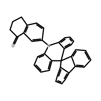 O=C1CCCc2ccc(N3c4ccccc4C4(c5ccccc5-c5ccccc54)c4ccccc43)cc21